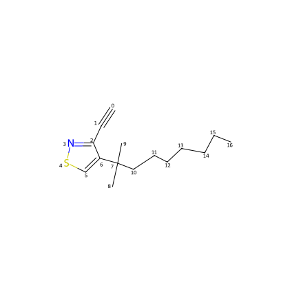 C#Cc1nscc1C(C)(C)CCCCCCC